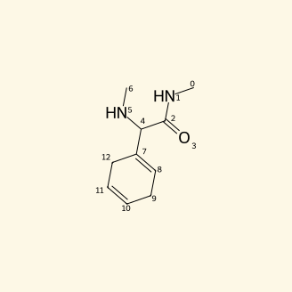 CNC(=O)C(NC)C1=CCC=CC1